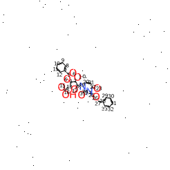 CO[C@@H]1[C@H](OC(=O)c2ccccc2)[C@@H](C(=O)O)O[C@H]1n1ccc(=O)n(COCc2ccccc2)c1=O